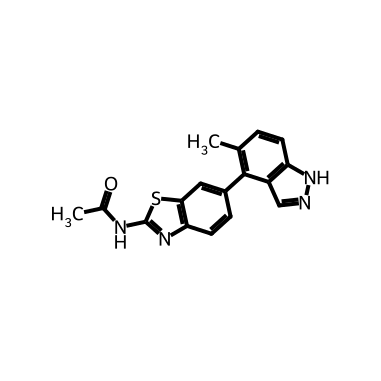 CC(=O)Nc1nc2ccc(-c3c(C)ccc4[nH]ncc34)cc2s1